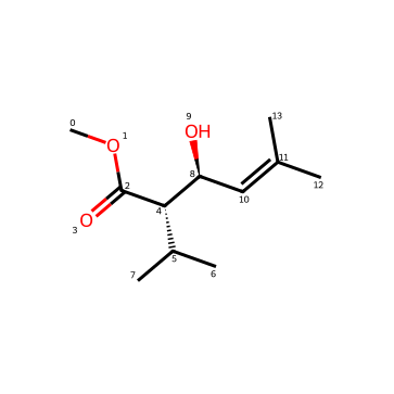 COC(=O)[C@@H](C(C)C)[C@@H](O)C=C(C)C